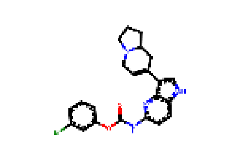 O=C(Nc1ccc2[nH]cc(C3=CCN4CCCC4C3)c2n1)Oc1cccc(Br)c1